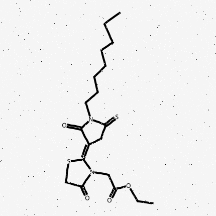 CCCCCCCCN1C(=O)/C(=C2\SCC(=O)N2CC(=O)OCC)CC1=S